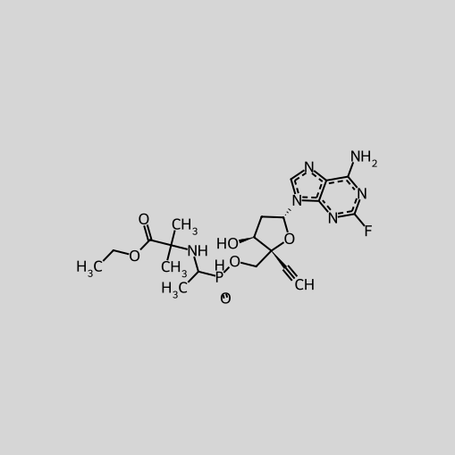 C#C[C@]1(CO[PH](=O)C(C)NC(C)(C)C(=O)OCC)O[C@@H](n2cnc3c(N)nc(F)nc32)C[C@@H]1O